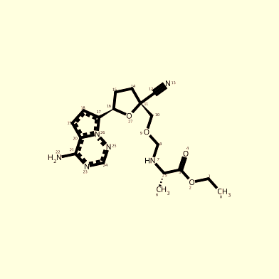 CCOC(=O)[C@H](C)NCOC[C@]1(C#N)CC[C@H](c2ccc3c(N)ncnn23)O1